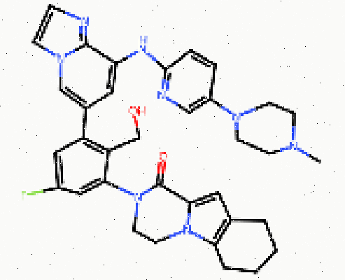 CN1CCN(c2ccc(Nc3cc(-c4cc(F)cc(N5CCn6c(cc7c6CCCC7)C5=O)c4CO)cn4ccnc34)nc2)CC1